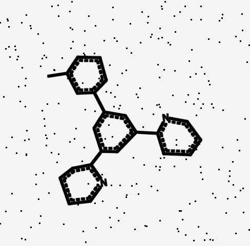 Cc1cccc(-c2cc(-c3ccccn3)cc(-c3ccccn3)c2)c1